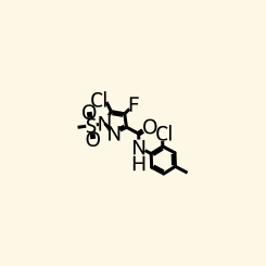 Cc1ccc(NC(=O)c2nn(S(C)(=O)=O)c(Cl)c2F)c(Cl)c1